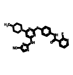 CN1CCN(c2cc(Nc3ncc(C#N)s3)nc(Sc3ccc(NC(=O)c4cccnc4F)cc3)n2)CC1